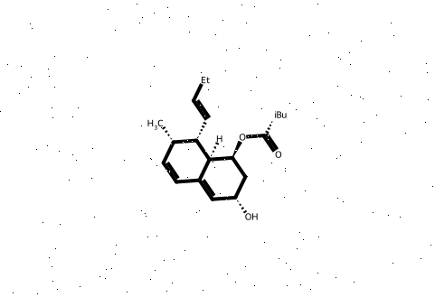 CC/C=C/[C@@H]1[C@@H]2C(=C[C@@H](O)C[C@@H]2OC(=O)[C@@H](C)CC)C=C[C@@H]1C